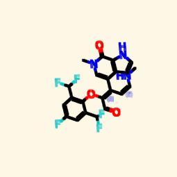 CN/C=C\C(=C(/C=O)Oc1c(C(F)F)cc(F)cc1C(F)F)c1cn(C)c(=O)c2[nH]ccc12